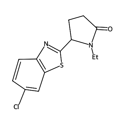 CCN1C(=O)CCC1c1nc2ccc(Cl)cc2s1